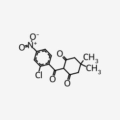 CC1(C)CC(=O)C(C(=O)c2ccc([N+](=O)[O-])cc2Cl)C(=O)C1